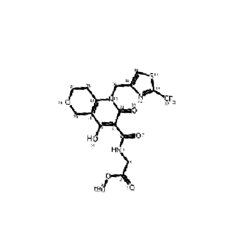 CC(C)(C)OC(=O)CNC(=O)c1c(O)c2c(n(Cc3csc(C(F)(F)F)n3)c1=O)CCOC2